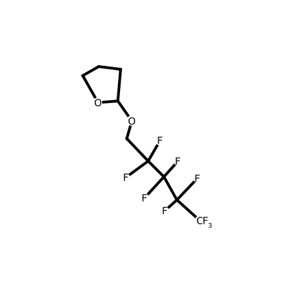 FC(F)(F)C(F)(F)C(F)(F)C(F)(F)COC1CCCO1